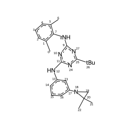 Cc1cccc(C)c1Nc1nc(Nc2cccc(N3CC3(C)C)c2)nc(C(C)(C)C)n1